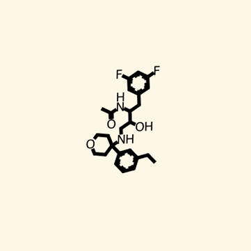 CCc1cccc(C2(NCC(O)C(Cc3cc(F)cc(F)c3)NC(C)=O)CCOCC2)c1